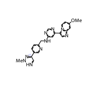 CN/N=C(\C=N)c1ccc(CNc2cc(-c3cnc4cc(OC)ccn34)ncn2)nc1